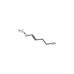 CO/C=C/CCO